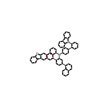 c1ccc(-c2ccc(-c3cccc4ccccc34)cc2N(c2ccc(-c3ccccc3-n3c4ccccc4c4ccccc43)cc2)c2cccc(-c3ccc4c(c3)oc3ccccc34)c2)cc1